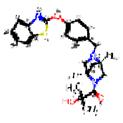 CC(C)(O)C(=O)N1C[C@H]2C[C@@H]1CN2Cc1ccc(Oc2nc3ccccc3s2)cc1